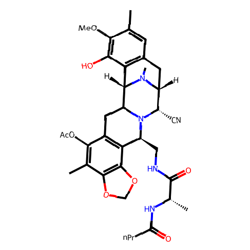 CCCC(=O)N[C@@H](C)C(=O)NC[C@H]1c2c(c(OC(C)=O)c(C)c3c2OCO3)CC2[C@@H]3c4c(cc(C)c(OC)c4O)C[C@H]([C@H](C#N)N21)N3C